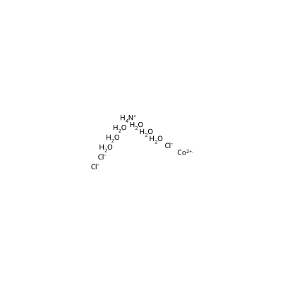 O.O.O.O.O.O.[Cl-].[Cl-].[Cl-].[Co+2].[NH4+]